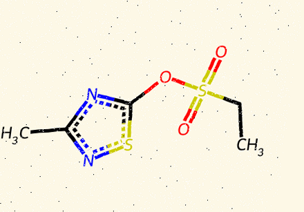 CCS(=O)(=O)Oc1nc(C)ns1